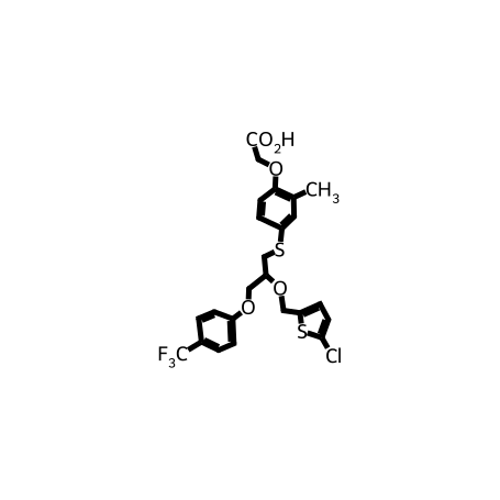 Cc1cc(SCC(COc2ccc(C(F)(F)F)cc2)OCc2ccc(Cl)s2)ccc1OCC(=O)O